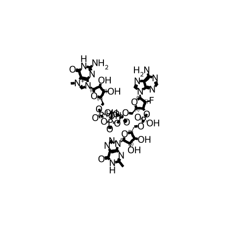 Cc1nc2c(nnn2[C@@H]2O[C@H](COP(=O)(O)OC3[C@@H](COP(=O)(O)OP(=O)(O)OP(=O)(O)OC[C@H]4O[C@@H](n5c[n+](C)c6c(=O)[nH]c(N)nc65)C(O)[C@H]4O)O[C@@H](n4cnc5c(N)ncnc54)[C@H]3F)C(O)[C@@H]2O)c(=O)[nH]1